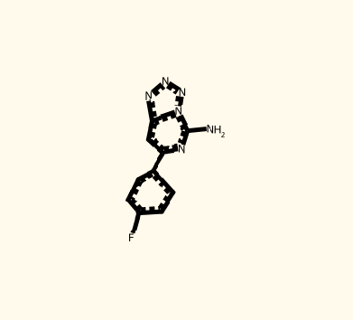 Nc1nc(-c2ccc(F)cc2)cc2nnnn12